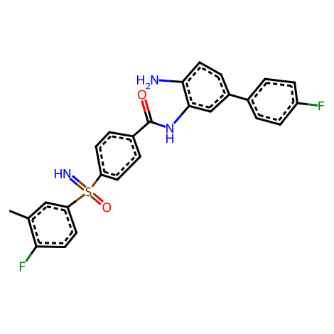 Cc1cc(S(=N)(=O)c2ccc(C(=O)Nc3cc(-c4ccc(F)cc4)ccc3N)cc2)ccc1F